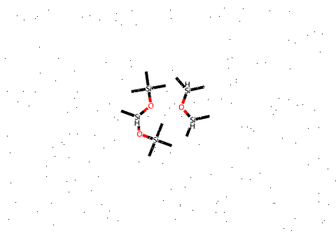 C[SiH](C)O[SiH](C)C.C[SiH](O[Si](C)(C)C)O[Si](C)(C)C